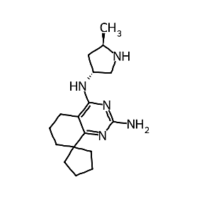 C[C@@H]1C[C@@H](Nc2nc(N)nc3c2CCCC32CCCC2)CN1